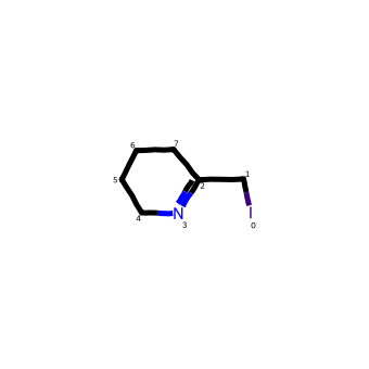 ICC1=NCCCC1